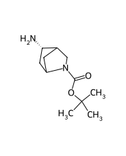 CC(C)(C)OC(=O)N1CC2CC1C[C@@H]2N